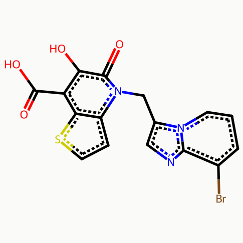 O=C(O)c1c(O)c(=O)n(Cc2cnc3c(Br)cccn23)c2ccsc12